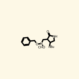 CCCCC1CNC(=O)C1CN(C=O)OCc1ccccc1